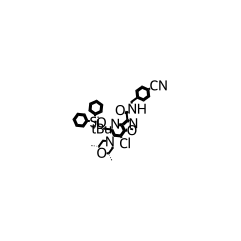 C[C@@H]1CN(c2c(CO[Si](c3ccccc3)(c3ccccc3)C(C)(C)C)nc3c(C(=O)NCc4ccc(C#N)cc4)noc3c2Cl)C[C@H](C)O1